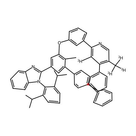 [2H]c1c(-c2cccc(Oc3cc(-c4nc5ccccc5n4-c4c(C(C)C)cccc4C(C)C)cc(-c4ccc(-c5ccccc5)cc4)c3C)c2)ncc(C([2H])([2H])[2H])c1-c1ccccc1